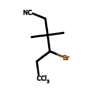 CC(C)(CC#N)C(Br)CC(Cl)(Cl)Cl